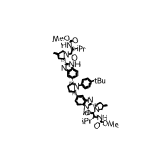 C=C1C[C@@H](c2nc3cc([C@H]4CC[C@H](c5ccc6[nH]c([C@@H]7CC(=C)CN7C(=O)[C@@H](NC(=O)OC)C(C)C)nc6c5)N4c4ccc(C(C)(C)C)cc4)ccc3[nH]2)N(C(=O)[C@@H](NC(=O)OC)C(C)C)C1